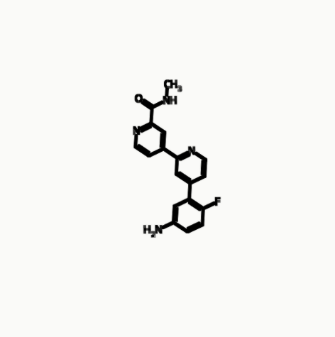 CNC(=O)c1cc(-c2cc(-c3cc(N)ccc3F)ccn2)ccn1